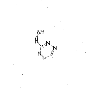 N=Nc1nncnn1